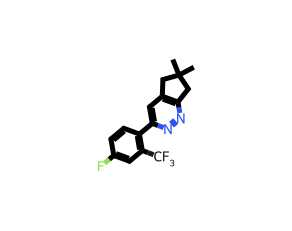 CC1(C)Cc2cc(-c3ccc(F)cc3C(F)(F)F)nnc2C1